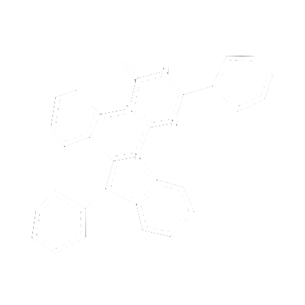 O=c1nc(-c2ccccc2)nc2n1c1ccccc1c1c(-c3ccccc3)c3ccccc3n12